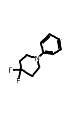 FC1(F)CCN(c2cc[c]cc2)CC1